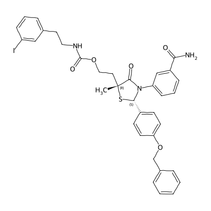 C[C@]1(CCOC(=O)NCCc2cccc(I)c2)S[C@@H](c2ccc(OCc3ccccc3)cc2)N(c2cccc(C(N)=O)c2)C1=O